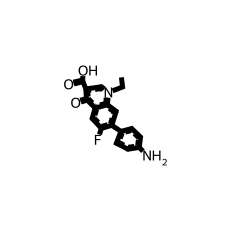 CCn1cc(C(=O)O)c(=O)c2cc(F)c(-c3ccc(N)cc3)cc21